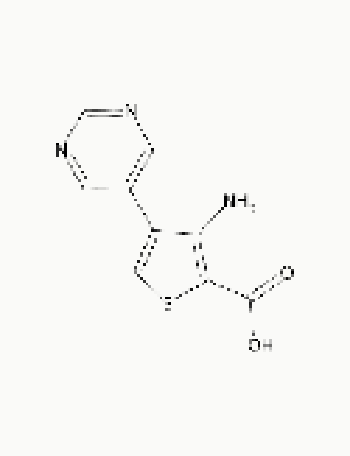 Nc1c(-c2cncnc2)csc1C(=O)O